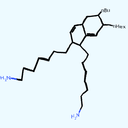 CCCCCCC1C=C2C(C=CC(CCCCCCCN)C2CCCCCCCN)CC1CCCC